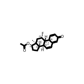 CC(=O)O[C@H]1CC[C@H]2[C@@H]3C=CC4=CC(=O)C=C[C@]4(C)[C@H]3[C@@H](F)C[C@]12C